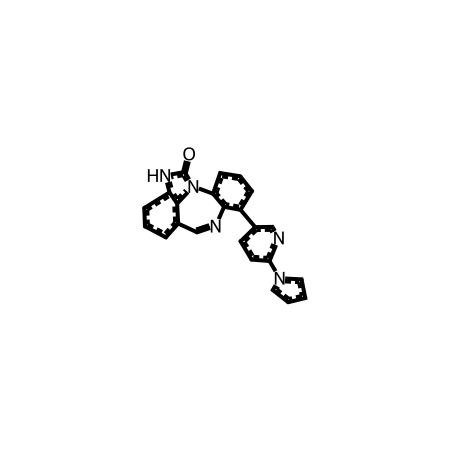 O=c1[nH]c2cccc3c2n1-c1cccc(-c2ccc(-n4cccc4)nc2)c1N=C3